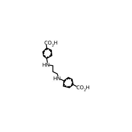 O=C(O)c1ccc(NCCCNc2ccc(C(=O)O)cc2)cc1